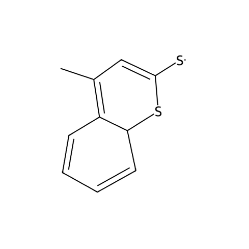 CC1=C2C=CC=CC2SC([S])=C1